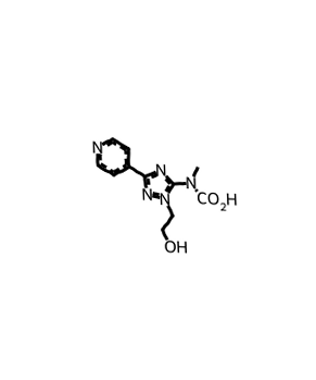 CN(C(=O)O)c1nc(-c2ccncc2)nn1CCO